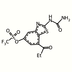 CCC(=O)c1cc(OS(=O)(=O)C(F)(F)F)cc2nc(NC(N)=O)sc12